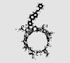 CC(C(=O)O)[C@@H]1CC(=O)[C@H]2CCCCN2C(=O)C(NC(=O)[C@H](CC(N)=O)NC(=O)c2ccc(-c3ccc4cc(CCc5ccccc5)ccc4c3)cc2)[C@@H](C)NC(=O)[C@@H]2CCCN2C(=O)[C@H](C(C)C)NC(=O)[C@@H](C(C)N)CC(=O)CNC(=O)C(COC=O)NC(=O)CNC(=O)[C@H](CC(=O)O)NC1=O